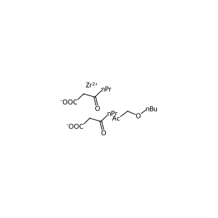 CCCC(=O)CC(=O)[O-].CCCC(=O)CC(=O)[O-].CCCCOCC(C)=O.[Zr+2]